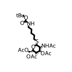 CC(=O)N[C@@H]1[C@@H](OC(C)=O)[C@@H](OC(C)=O)[C@@H](COC(C)=O)O[C@@H]1SCCCCCNC(=O)OC(C)(C)C